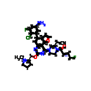 CN1CCC[C@H]1COc1nc(N2CCN(C(=O)/C=C/CF)[C@@H](CC#N)C2)c2c(cc(-c3cc(N)cc(F)c3Cl)c3ccoc32)n1